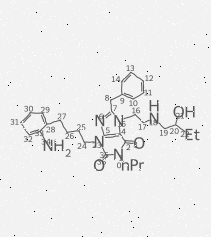 CCCn1c(=O)c2c(nc(Cc3ccccc3)n2CCNCC(O)CC)n(CCCCc2ccccc2N)c1=O